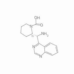 NC(c1ncnc2ccccc12)[C@@H]1CCCCN1C(=O)O